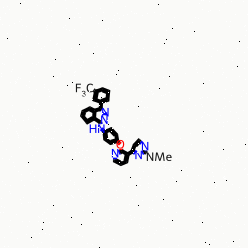 CNc1nccc(-c2cccnc2Oc2ccc(Nc3nnc(-c4cccc(C(F)(F)F)c4)c4ccccc34)cc2)n1